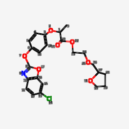 CC(Oc1ccc(Oc2nc3ccc(Cl)cc3o2)cc1)C(=O)OCCOCC1CCCO1